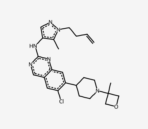 C=CCCn1ncc(Nc2ncc3cc(Cl)c(C4CCN(C5(C)COC5)CC4)cc3n2)c1C